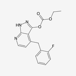 CCOC(=O)Oc1n[nH]c2nccc(Cc3ccccc3F)c12